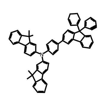 CC1(C)c2ccccc2-c2ccc(N(c3ccc(-c4ccc5c(c4)-c4ccccc4C5(C4=CCCC=C4)c4c#cccc4)cc3)c3ccc4c(c3)C(C)(C)c3ccccc3-4)cc21